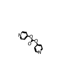 O=C(Oc1ccncc1)Oc1ccncc1